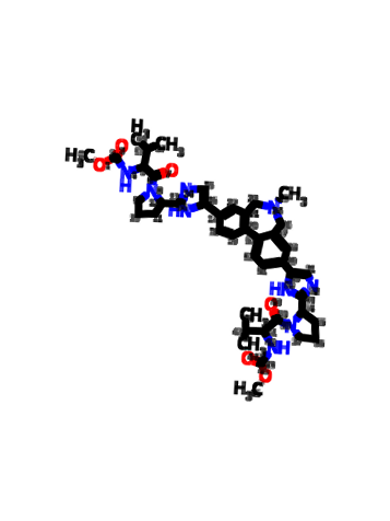 COC(=O)NC(C(=O)N1CCCC1c1ncc(-c2ccc3c(c2)CN(C)Cc2cc(-c4cnc(C5CCCN5C(=O)C(NC(=O)OC)C(C)C)[nH]4)ccc2-3)[nH]1)C(C)C